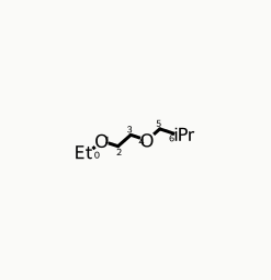 CCOCCOCC(C)C